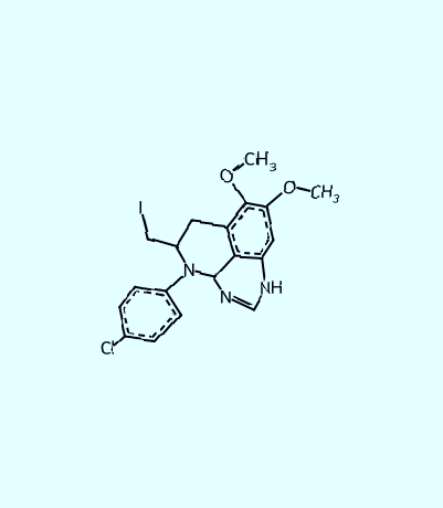 COc1cc2c3c(c1OC)CC(CI)N(c1ccc(Cl)cc1)C3N=CN2